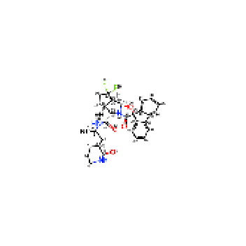 N#C[C@H](C[C@@H]1CCCNC1=O)NC(=O)[C@@H]1[C@H]2CCC(F)(F)[C@H]2CN1C(=O)C1(O)c2ccccc2-c2ccccc21